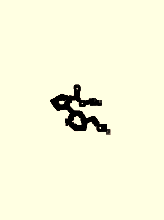 C=Cc1ccnc(-c2cccn2C(=O)OC(C)(C)C)c1